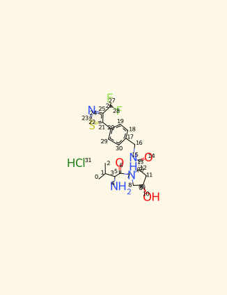 CC(C)C(N)C(=O)N1C[C@H](O)C[C@H]1C(=O)NCc1ccc(-c2scnc2C(F)F)cc1.Cl